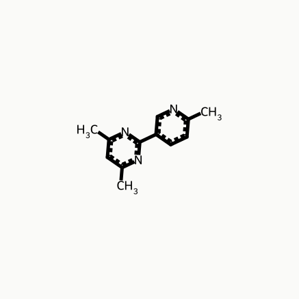 Cc1ccc(-c2nc(C)cc(C)n2)cn1